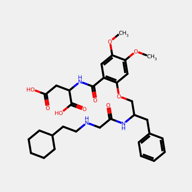 COc1cc(OCC(Cc2ccccc2)NC(=O)CNCCC2CCCCC2)c(C(=O)NC(CC(=O)O)C(=O)O)cc1OC